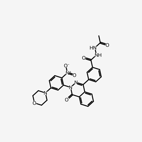 CC(=O)NNC(=O)c1cccc(-c2nn(-c3cc(N4CCOCC4)ccc3[N+](=O)[O-])c(=O)c3ccccc23)c1